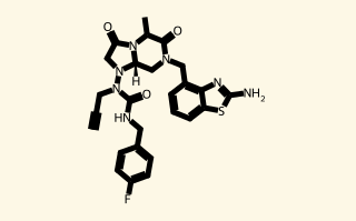 C#CCN(C(=O)NCc1ccc(F)cc1)N1CC(=O)N2C(C)C(=O)N(Cc3cccc4sc(N)nc34)C[C@@H]21